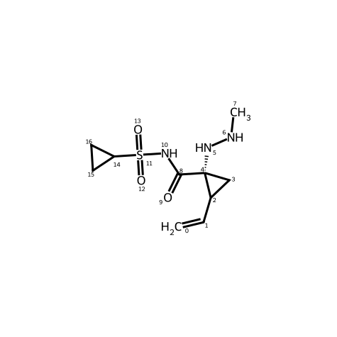 C=CC1C[C@]1(NNC)C(=O)NS(=O)(=O)C1CC1